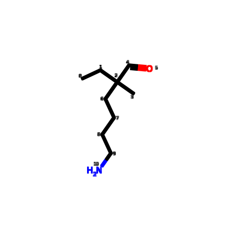 CCC(C)(C=O)CCCCN